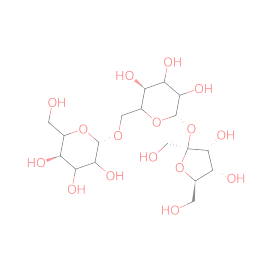 OCC1O[C@H](OCC2O[C@@H](O[C@]3(CO)O[C@H](CO)[C@@H](O)[C@H]3O)C(O)C(O)[C@@H]2O)C(O)C(O)[C@H]1O